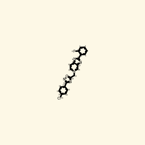 Fc1ccccc1-c1nc2ccn(Cc3nc(-c4ccc(Cl)cc4)no3)cc-2n1